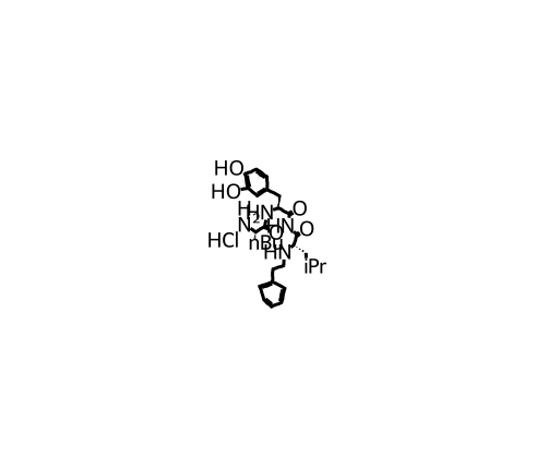 CCCC[C@H](N)C(=O)N[C@@H](Cc1ccc(O)c(O)c1)C(=O)NC(=O)[C@H](CC(C)C)NCCc1ccccc1.Cl